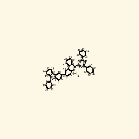 Cc1ccc(-c2ccc3c(c2)c2ccccc2n3-c2ccccc2)cc1-c1ccccc1Cc1nc(-c2ccccc2)nc(-c2ccccc2)n1